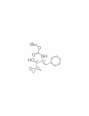 CC(C)(C)OC(=O)N[C@@H](Cc1ccccc1)[C@H](O)[C@]1(C)CO1